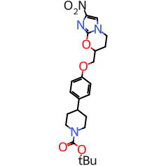 CC(C)(C)OC(=O)N1CCC(c2ccc(OCC3CCn4cc([N+](=O)[O-])nc4O3)cc2)CC1